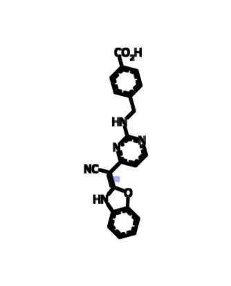 N#C/C(=C1\Nc2ccccc2O1)c1ccnc(NCc2ccc(C(=O)O)cc2)n1